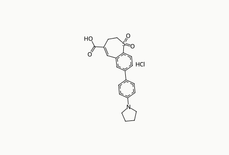 Cl.O=C(O)C1=Cc2cc(-c3ccc(N4CCCC4)cc3)ccc2S(=O)(=O)CC1